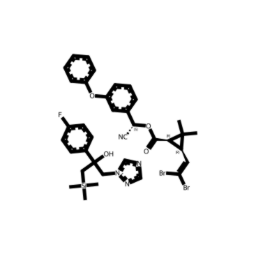 CC1(C)[C@H](C(=O)O[C@H](C#N)c2cccc(Oc3ccccc3)c2)[C@@H]1C=C(Br)Br.C[Si](C)(C)CC(O)(Cn1cncn1)c1ccc(F)cc1